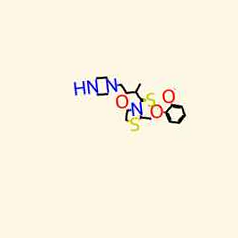 COc1ccccc1OCC1SCCN1C(=S)C(C)C(=O)CN1CCNCC1